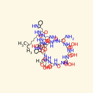 CCC(C)CCCCCCC(=O)NC(Cc1c[nH]c2ccccc12)C(=O)NC(CC(N)=O)C(=O)NC(CC(=O)O)C(=O)NC1C(=O)NCC(=O)NC(CCCN)C(=O)NC(CC(=O)O)C(=O)NC(CO)C(=O)NC(CC(=O)O)C(=O)NCC(=O)NC(CO)C(=O)NC(C(C)CC(=O)O)C(=O)NC(Cc2c[nH]c3ccccc23)C(=O)OC1C